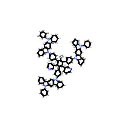 N#Cc1c(-c2ccc(-n3c4ccccc4c4cc5c(cc43)c3ccccc3n5-c3ccccc3)cc2)c(-c2cccnc2)c(-c2ccc(-n3c4ccccc4c4cc5c(cc43)c3ccccc3n5-c3ccccc3)cc2)c(-c2cccnc2)c1-c1ccc(-n2c3ccccc3c3cc4c(cc32)c2ccccc2n4-c2ccccc2)cc1